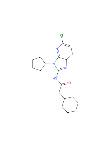 O=C(CC1CCCCC1)NC1=NC2CC=C(Cl)N=C2N1C1CCCC1